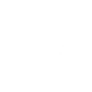 CC1C(=O)C=CP1c1ccccc1